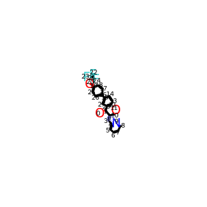 O=C1/C(=C/c2ccccn2)COc2ccc(-c3ccc(OC(F)(F)F)cc3)cc21